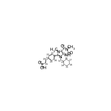 CN1c2c([nH]c(=O)n(C)c2=O)N(CC2CCCCC2)C1c1ccc(/C=C/C(=O)O)cc1